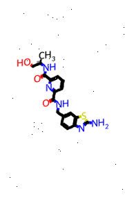 C[C@H](CO)NC(=O)c1cccc(C(=O)NCc2ccc3nc(N)sc3c2)n1